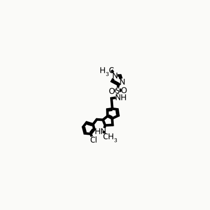 CNC1Cc2ccc(CNS(=O)(=O)c3cn(C)cn3)cc2C1Cc1cccc(Cl)c1